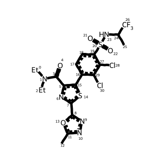 CCN(CC)C(=O)c1nc(-c2nnc(C)o2)sc1-c1ccc(S(=O)(=O)NC(C)C(F)(F)F)c(Cl)c1Cl